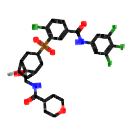 C[C@H]1CC2CC(S(=O)(=O)c3cc(C(=O)Nc4cc(F)c(F)c(F)c4)ccc3Cl)CC1[C@@]2(O)CNC(=O)C1CCOCC1